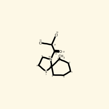 CC1CCCCC12SCCN2C(=O)C(Cl)Cl